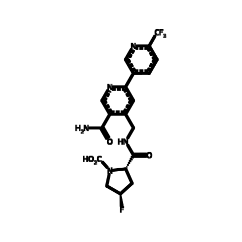 NC(=O)c1cnc(-c2ccc(C(F)(F)F)nc2)cc1CNC(=O)[C@@H]1C[C@@H](F)CN1C(=O)O